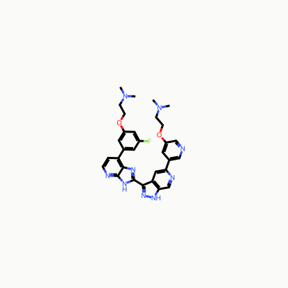 CN(C)CCOc1cncc(-c2cc3c(-c4nc5c(-c6cc(F)cc(OCCN(C)C)c6)ccnc5[nH]4)n[nH]c3cn2)c1